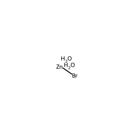 O.O.[Zn][Br]